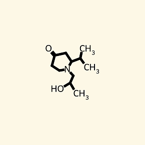 CC(O)CN1CCC(=O)CC1C(C)C